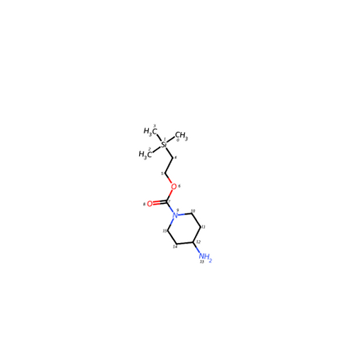 C[Si](C)(C)CCOC(=O)N1CCC(N)CC1